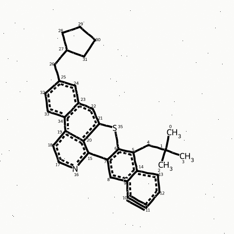 CC(C)(C)Cc1c2c(cc3c#cccc13)-c1nccc3c1c(cc1cc(CC4CCCC4)ccc13)S2